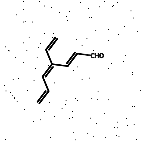 C=C/C=C(C=C)\C=C\C=O